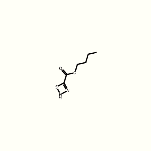 CCCCOC(=O)c1n[nH]s1